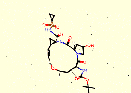 C[C@@H]1C[C@H](C)OC/C=C\C2C[C@@]2(C(=O)NS(=O)(=O)C2CC2)NC(=O)[C@@H]2C[C@@H](O)CN2C(=O)C1NC(=O)OC(C)(C)C